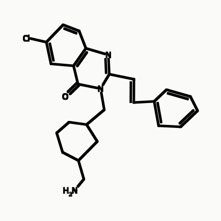 NCC1CCCC(Cn2c(C=Cc3ccccc3)nc3ccc(Cl)cc3c2=O)C1